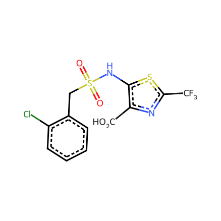 O=C(O)c1nc(C(F)(F)F)sc1NS(=O)(=O)Cc1ccccc1Cl